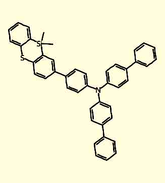 C[Si]1(C)c2ccccc2Sc2ccc(-c3ccc(N(c4ccc(-c5ccccc5)cc4)c4ccc(-c5ccccc5)cc4)cc3)cc21